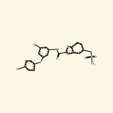 O=C(Nc1cc(Cl)cc(Oc2ccc(Cl)cc2)c1)c1cc2cc(CS(=O)(=O)C(F)(F)F)ccc2s1